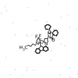 CCCCCN(CC(F)(F)F)C(=O)C1c2ccccc2-c2cccc(N3CCC(NC(=O)c4ccccc4Oc4ccccc4)C3)c21